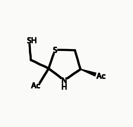 CC(=O)[C@@H]1CSC(CS)(C(C)=O)N1